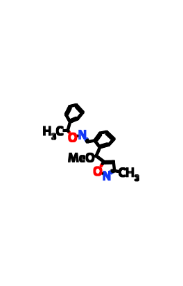 COC(c1cc(C)no1)c1ccccc1C=NOC(C)c1ccccc1